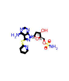 Nc1ncnc2c1c(Sc1ccccn1)nn2[C@H]1C[C@H](O)[C@@H](COS(N)(=O)=O)O1